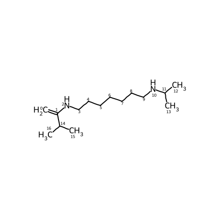 C=C(NCCCCCCCNC(C)C)C(C)C